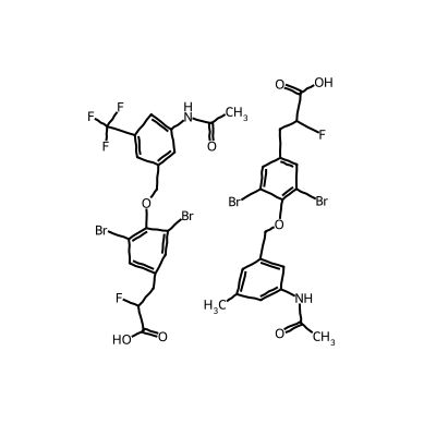 CC(=O)Nc1cc(C)cc(COc2c(Br)cc(CC(F)C(=O)O)cc2Br)c1.CC(=O)Nc1cc(COc2c(Br)cc(CC(F)C(=O)O)cc2Br)cc(C(F)(F)F)c1